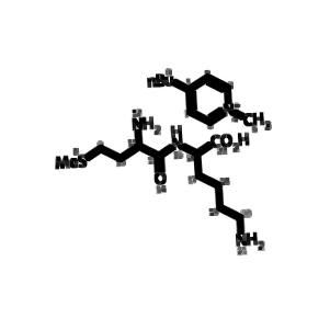 CCCCc1cc[n+](C)cc1.CSCCC(N)C(=O)NC(CCCCN)C(=O)O